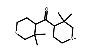 CC1(C)CNCCC1C(=O)C1CCNCC1(C)C